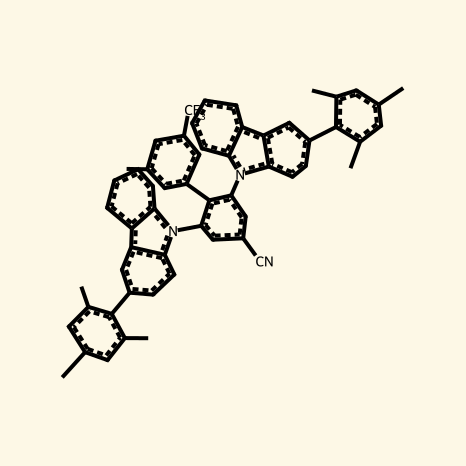 Cc1cc(-c2c(-n3c4ccccc4c4cc(-c5c(C)cc(C)cc5C)ccc43)cc(C#N)cc2-n2c3ccccc3c3cc(-c4c(C)cc(C)cc4C)ccc32)cc(C(F)(F)F)c1